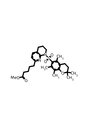 COC(=O)CCCCc1ccc2c(n1)N(S(=O)(=O)c1c(C)c(C)c3c(c1C)CCC(C)(C)O3)CCC2